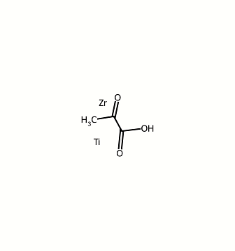 CC(=O)C(=O)O.[Ti].[Zr]